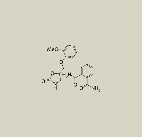 COc1ccccc1OCC1CNC(=O)O1.NC(=O)c1ccccc1C(N)=O